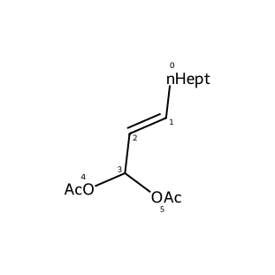 CCCCCCCC=CC(OC(C)=O)OC(C)=O